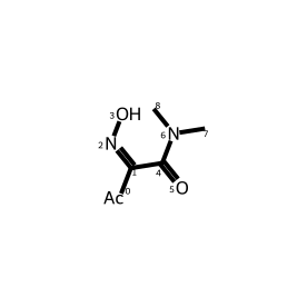 CC(=O)C(=NO)C(=O)N(C)C